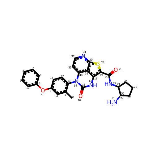 Cc1cc(Oc2ccccc2)ccc1N1C(=O)Nc2c(C(=O)NC3CCC[C@H]3N)sc3nccc1c23